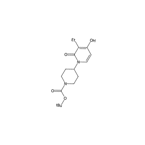 CCc1c(O)ccn(C2CCN(C(=O)OC(C)(C)C)CC2)c1=O